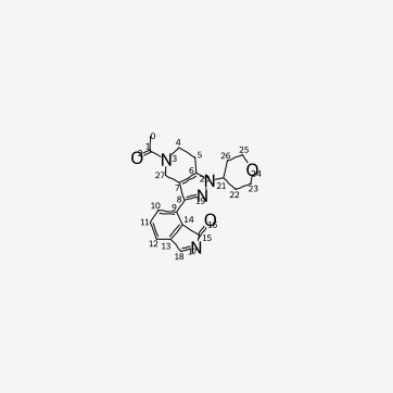 CC(=O)N1CCc2c(c(-c3cccc4c3C(=O)N=C4)nn2C2CCOCC2)C1